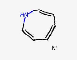 C1=CC=CNC=C1.[Ni]